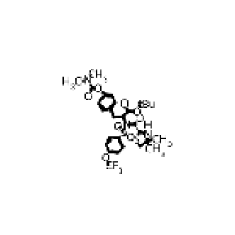 CN(C)C(=O)Oc1ccc(C[C@@H](C(=O)OC(C)(C)C)N(C(=O)[C@H]2NC(C)(C)CS2)S(=O)(=O)c2ccc(OC(F)(F)F)cc2)cc1